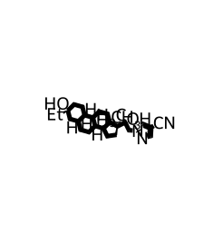 CC[C@@]1(O)CC[C@H]2[C@@H](CC[C@@H]3[C@@H]2CC[C@@]2(C)[C@H]3CC[C@@H]2[C@](C)(O)Cn2cc(C#N)cn2)C1